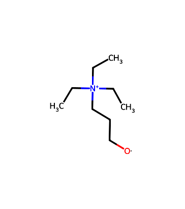 CC[N+](CC)(CC)CCC[O]